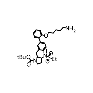 CCS(=O)(=O)NC1CCN(C(=O)OC(C)(C)C)C1Cc1cccc(-c2ccccc2OCCCCCN)c1